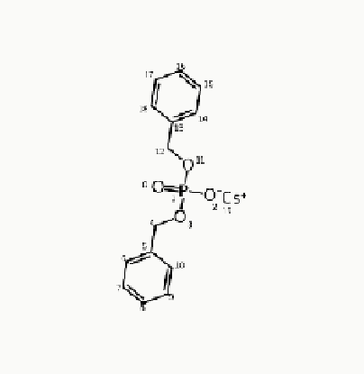 O=P([O-])(OCc1ccccc1)OCc1ccccc1.[Cs+]